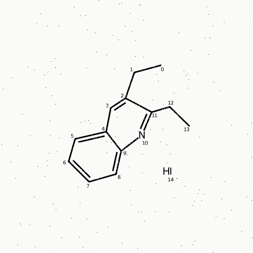 CCc1cc2ccccc2nc1CC.I